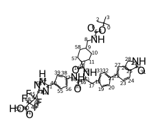 CC(C)(C)OC(=O)NCC1CCC(C(=O)N[C@@H](Cc2ccc(-c3ccc4c(c3)CNC4=O)cc2)C(=O)Nc2ccc(-c3nc(C(F)(F)C(F)(F)C(=O)O)n[nH]3)cc2)CC1